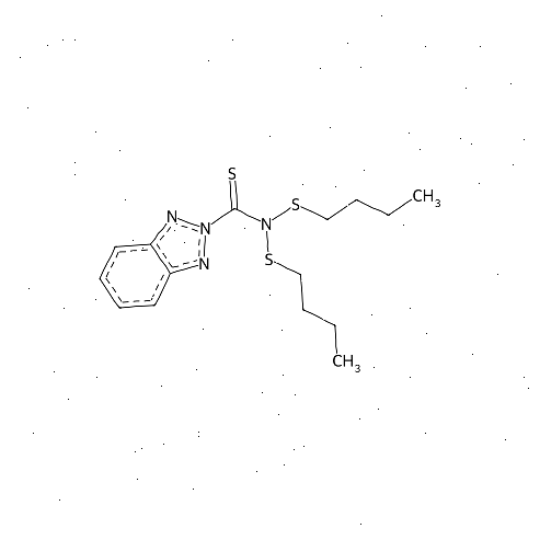 CCCCSN(SCCCC)C(=S)n1nc2ccccc2n1